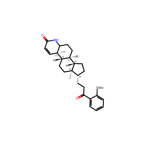 COc1ccccc1C(=O)CC[C@H]1CC[C@H]2[C@@H]3CCC4NC(=O)C=C[C@]4(C)[C@H]3CC[C@]12C